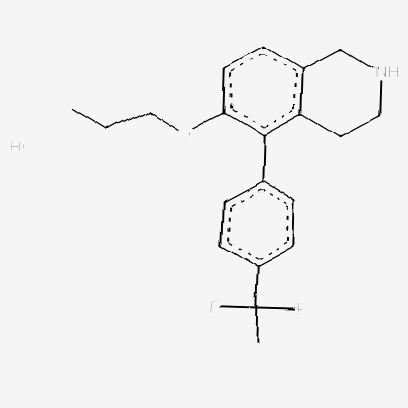 CCCOc1ccc2c(c1-c1ccc(C(F)(F)F)cc1)CCNC2.Cl